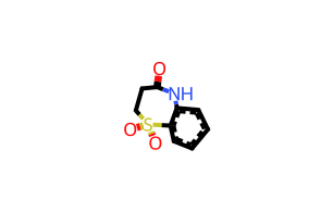 O=C1CCS(=O)(=O)c2ccccc2N1